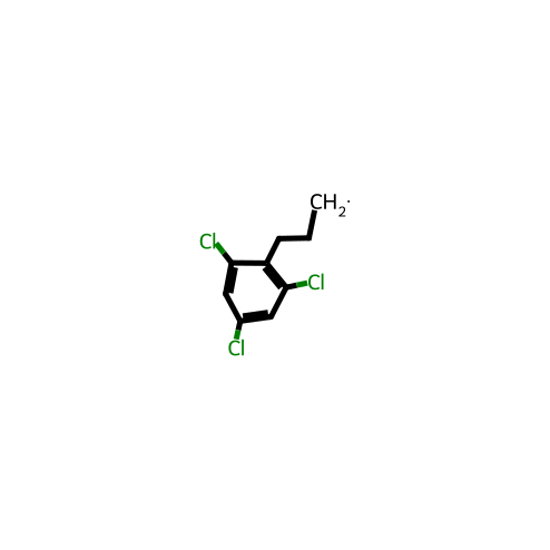 [CH2]CCc1c(Cl)cc(Cl)cc1Cl